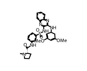 COC1=CC(Nc2nc3ccccc3nc2NS(=O)(=O)c2cccc(NC(=O)[C@@H]3CCCN3C)c2)CC(OC)=C1